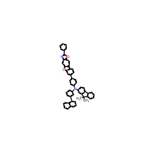 CC1(C)c2ccccc2-c2ccc(N(c3ccc(-c4ccc5c(c4)oc4cc6nc(-c7ccccc7)oc6cc45)cc3)c3cccc(-c4cccc5ccccc45)c3)cc21